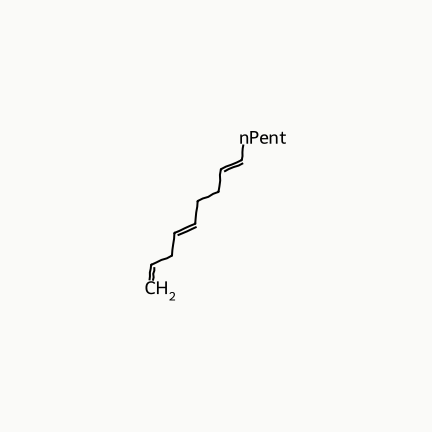 C=CCC=CCCC=CCCCCC